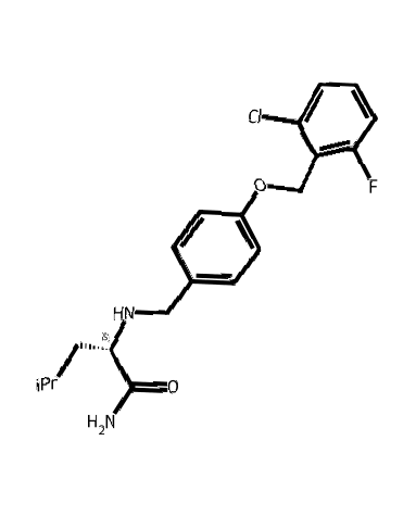 CC(C)C[C@H](NCc1ccc(OCc2c(F)cccc2Cl)cc1)C(N)=O